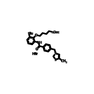 Br.CCCCCCCCCCCCCCOc1c(NC(=O)c2ccc(CN3C=C(C)SC3)cc2)cccc1C(C)(C)C